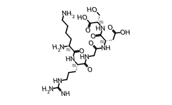 N=C(N)NCCC[C@H](NC(=O)[C@@H](N)CCCCN)C(=O)NCC(=O)N[C@@H](CC(=O)O)C(=O)N[C@@H](CO)C(=O)O